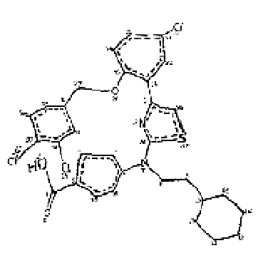 O=C(O)c1ccc(N(CCC2CCCCC2)c2nc(-c3cc(Cl)ccc3OCc3ccc(Cl)c(Cl)c3)cs2)cc1